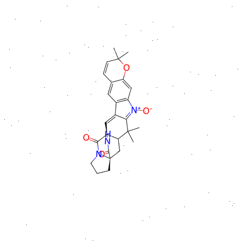 CC1(C)C=Cc2cc3c(cc2O1)[N+]([O-])=C1C3=C[C@@]23NC(=O)[C@]4(CCCN4C2=O)CC3C1(C)C